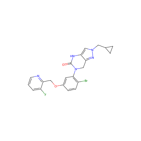 O=C1Nc2cn(CC3CC3)nc2CN1c1cc(OCc2ncccc2F)ccc1Br